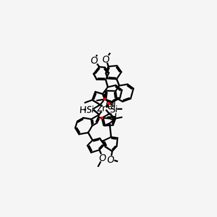 COc1ccc(C2C=CC=CC3=C2C=C(C)[C]32[SiH](C)[C]3(C(C)=CC4=C3C=CC=CC4c3ccc(OC)cc3)[Zr]23([Cl])([Cl])[C]2(C(C)=CC4=C2C=CC=CC4c2ccc(OC)cc2)[SiH](C)[C]32C(C)=CC3=C2C=CC=CC3c2ccc(OC)cc2)cc1